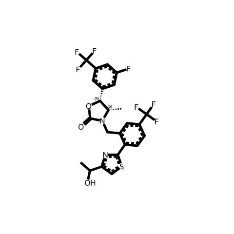 CC(O)c1csc(-c2ccc(C(F)(F)F)cc2CN2C(=O)O[C@H](c3cc(F)cc(C(F)(F)F)c3)[C@@H]2C)n1